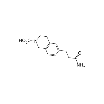 NC(=O)CCc1ccc2c(c1)CCN(C(=O)O)C2